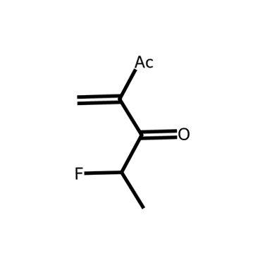 C=C(C(C)=O)C(=O)C(C)F